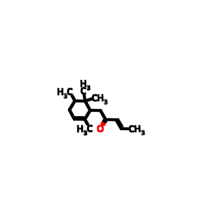 CC=CC(=O)CC1C(C)=CCC(C)C1(C)C